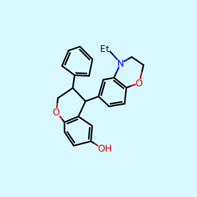 CCN1CCOc2ccc(C3c4cc(O)ccc4OCC3c3ccccc3)cc21